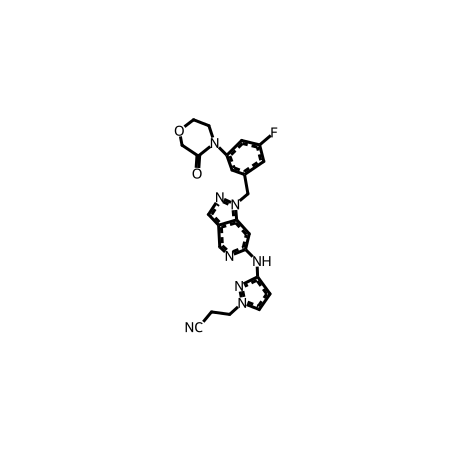 N#CCCn1ccc(Nc2cc3c(cn2)cnn3Cc2cc(F)cc(N3CCOCC3=O)c2)n1